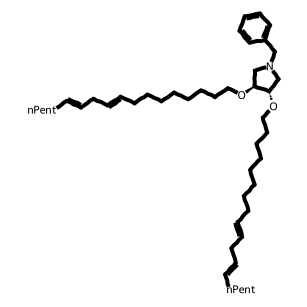 CCCCCC=CCC=CCCCCCCCCO[C@H]1CN(Cc2ccccc2)C[C@@H]1OCCCCCCCCC=CCC=CCCCCC